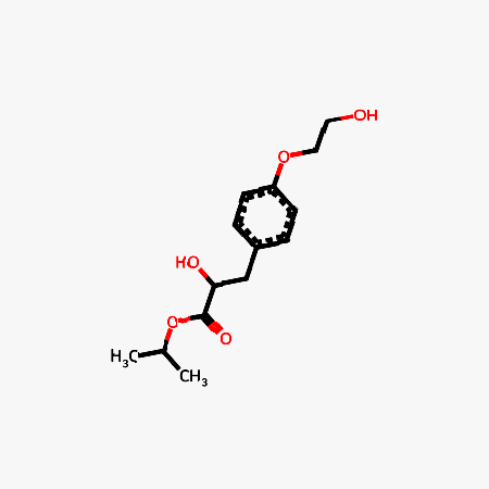 CC(C)OC(=O)C(O)Cc1ccc(OCCO)cc1